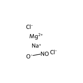 O=N[O-].[Cl-].[Cl-].[Mg+2].[Na+]